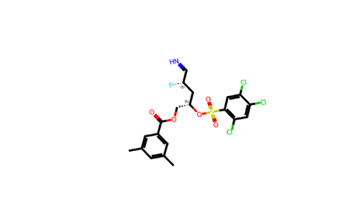 Cc1cc(C)cc(C(=O)OC[C@H](C[C@H](F)C=N)OS(=O)(=O)c2cc(Cl)c(Cl)cc2Cl)c1